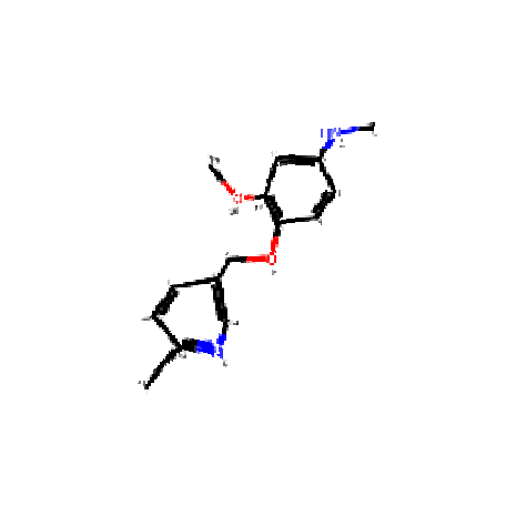 CNc1ccc(OCc2ccc(C)nc2)c(OC)c1